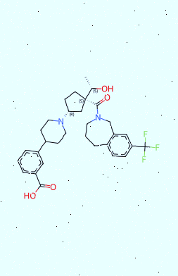 C[C@H](O)[C@]1(C(=O)N2CCCc3ccc(C(F)(F)F)cc3C2)CC[C@@H](N2CCC(c3cccc(C(=O)O)c3)CC2)C1